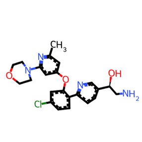 Cc1cc(Oc2cc(Cl)ccc2-c2ccc([C@@H](O)CN)cn2)cc(N2CCOCC2)n1